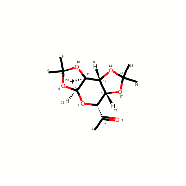 CC(=O)[C@@H]1O[C@H]2OC(C)(C)O[C@H]2[C@@H]2OC(C)(C)O[C@@H]21